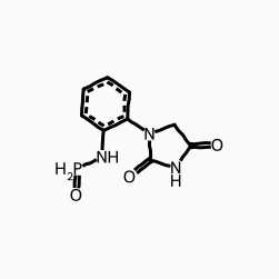 O=[PH2]Nc1ccccc1N1CC(=O)NC1=O